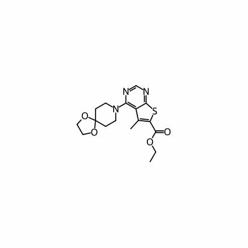 CCOC(=O)c1sc2ncnc(N3CCC4(CC3)OCCO4)c2c1C